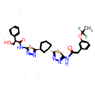 CC(F)(F)Oc1cccc(CC(=O)Nc2nnc([C@H]3CCC[C@H](c4nnc(NC(=O)C(CO)c5ccccc5)s4)C3)s2)c1